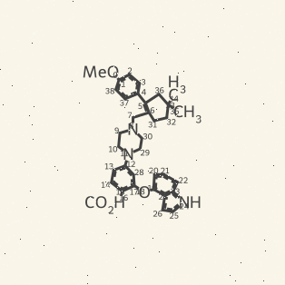 COc1ccc(C2=C(CN3CCN(c4ccc(C(=O)O)c(Oc5cccc6[nH]ccc56)c4)CC3)CCC(C)(C)C2)cc1